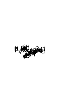 CC(C)(C)OC(=O)C(CCCCB1OC(C)(C)C(C)(C)O1)(CCCN1CCN(C(=O)c2ccc(Cl)c(Cl)c2)CC1)NC(=O)OCc1ccccc1